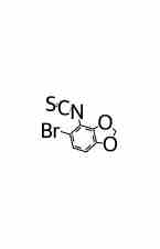 S=C=Nc1c(Br)ccc2c1OCO2